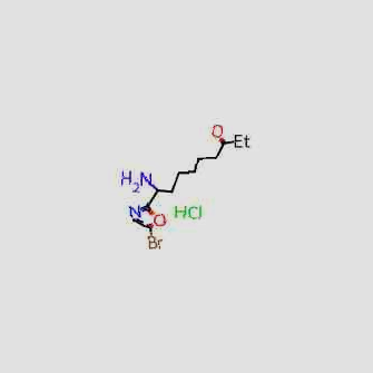 CCC(=O)CCCCCC(N)c1ncc(Br)o1.Cl